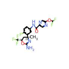 C[C@@]1(c2cc(NC(=O)c3cnc(OC(F)F)cn3)ccc2F)C[C@@H](C(F)(F)F)OC(N)=N1